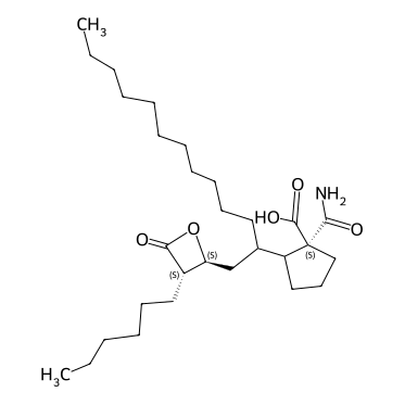 CCCCCCCCCCCC(C[C@@H]1OC(=O)[C@H]1CCCCCC)C1CCC[C@]1(C(N)=O)C(=O)O